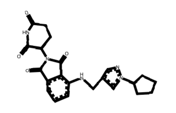 O=C1CCC(N2C(=O)c3cccc(NCc4cnn(C5CCCC5)c4)c3C2=O)C(=O)N1